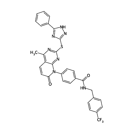 Cc1nc(Sc2n[nH]c(-c3ccccc3)n2)nc2c1ccc(=O)n2-c1ccc(C(=O)NCc2ccc(C(F)(F)F)cc2)cc1